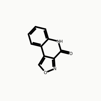 O=c1[nH]c2ccccc2c2conc12